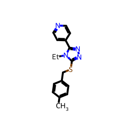 CCn1c(SCc2ccc(C)cc2)nnc1-c1ccncc1